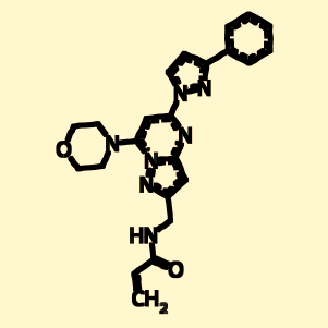 C=CC(=O)NCc1cc2nc(-n3ccc(-c4ccccc4)n3)cc(N3CCOCC3)n2n1